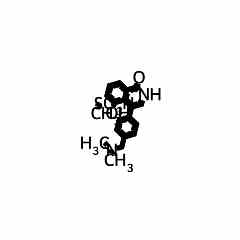 CN(C)Cc1ccc(-c2c[nH]c(=O)c3cccc(O)c23)cc1.CS(=O)(=O)O